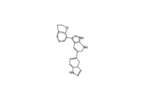 C1=CC2CC(C3=Cc4c(-c5cccc6c5OCC6)c[nH]c4NC3)=CC=C2N1